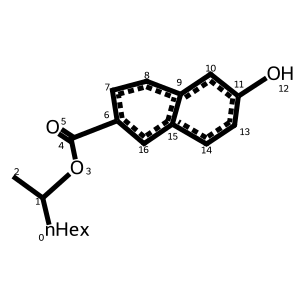 CCCCCCC(C)OC(=O)c1ccc2cc(O)ccc2c1